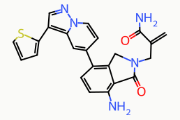 C=C(CN1Cc2c(-c3ccn4ncc(-c5cccs5)c4c3)ccc(N)c2C1=O)C(N)=O